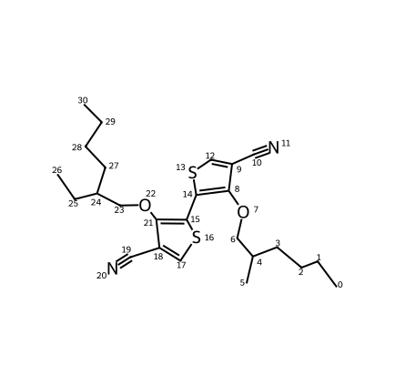 CCCCC(C)COc1c(C#N)csc1-c1scc(C#N)c1OCC(CC)CCCC